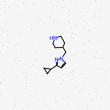 c1cn(CC2CCNCC2)nc1C1CC1